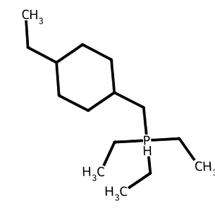 CCC1CCC(C[PH](CC)(CC)CC)CC1